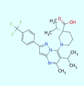 Cc1nc2cc(-c3ccc(C(F)(F)F)cc3)nn2c(N2CCC[C@@](C(=O)O)(C(C)C)C2)c1C(C)C